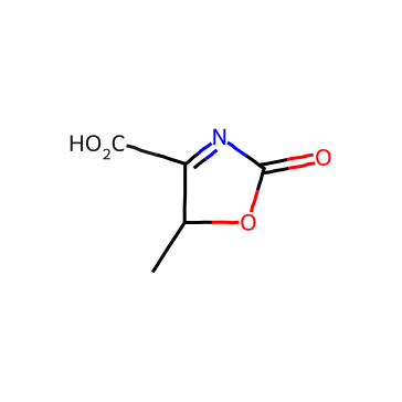 CC1OC(=O)N=C1C(=O)O